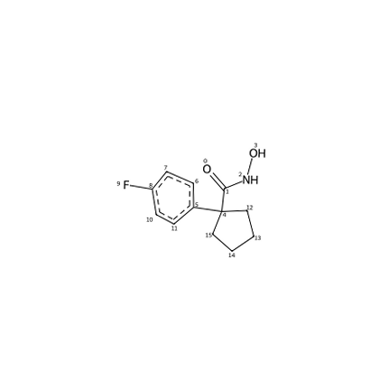 O=C(NO)C1(c2ccc(F)cc2)CCCC1